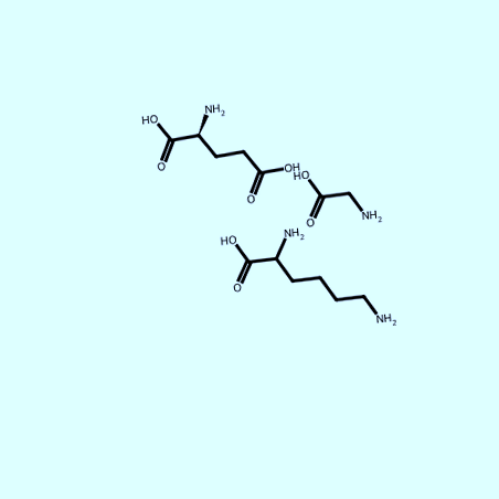 NCC(=O)O.NCCCCC(N)C(=O)O.N[C@@H](CCC(=O)O)C(=O)O